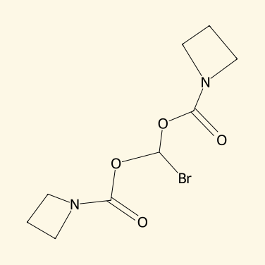 O=C(OC(Br)OC(=O)N1CCC1)N1CCC1